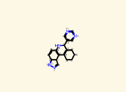 C1=CC2NN=CC2C2=C1NC(c1cncnc1)C1=C2CCCC1